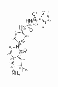 Cc1ccsc1S(=O)(=O)NC(=O)Nc1ccc(-n2ccc3cc(N)c(F)cc3c2=O)cc1